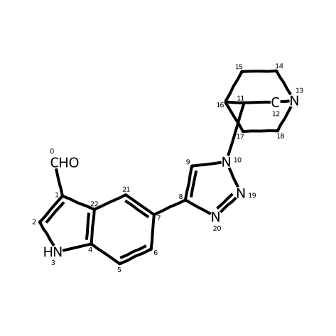 O=Cc1c[nH]c2ccc(-c3cn(C4CN5CCC4CC5)nn3)cc12